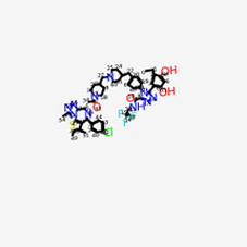 CCc1cc(-c2nnc(C(=O)NCC(F)(F)F)n2-c2ccc(CC3CCN(CC4CCN(C(=O)C[C@@H]5N=C(c6ccc(Cl)cc6)c6c(sc(C)c6C)-n6c(C)nnc65)CC4)CC3)cc2)c(O)cc1O